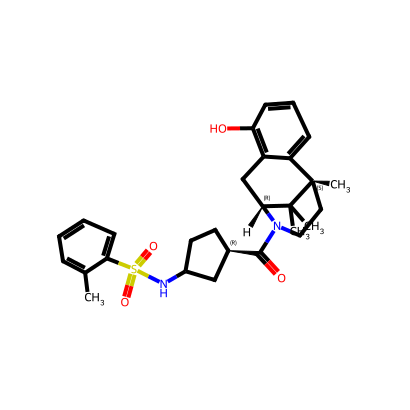 Cc1ccccc1S(=O)(=O)NC1CC[C@@H](C(=O)N2CC[C@@]3(C)c4cccc(O)c4C[C@@H]2C3(C)C)C1